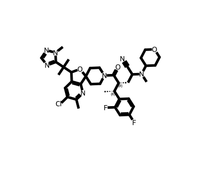 Cc1nc2c(cc1Cl)C(C(C)(C)c1ncnn1C)OC21CCN(C(=O)[C@H](CC(C#N)N(C)C2CCOCC2)[C@@H](C)c2ccc(F)cc2F)CC1